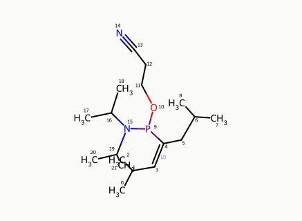 CC(C)/C=C(/CC(C)C)P(OCCC#N)N(C(C)C)C(C)C